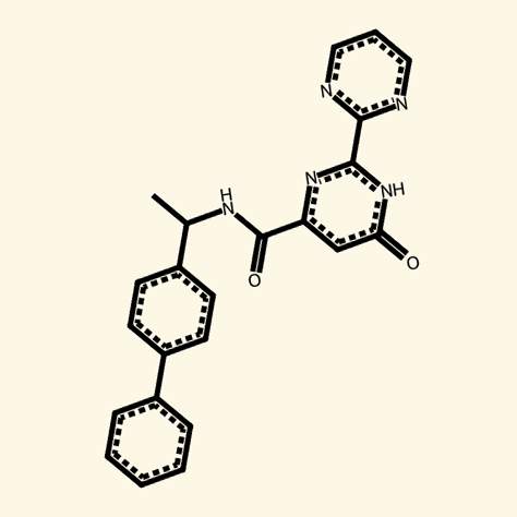 CC(NC(=O)c1cc(=O)[nH]c(-c2ncccn2)n1)c1ccc(-c2ccccc2)cc1